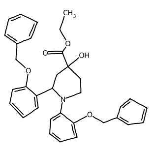 CCOC(=O)C1(O)CCN(c2ccccc2OCc2ccccc2)C(c2ccccc2OCc2ccccc2)C1